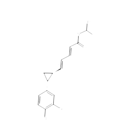 CC(C)C(C)NC(=O)/C=C/C=C/[C@@H]1C[C@H]1c1ccc(Cl)c(Br)c1